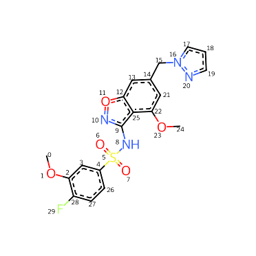 COc1cc(S(=O)(=O)Nc2noc3cc(Cn4cccn4)cc(OC)c23)ccc1F